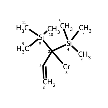 C=C[C]([Cr])([Si](C)(C)C)[Si](C)(C)C